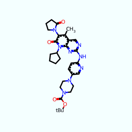 Cc1c(N2CCCC2=O)c(=O)n(C2CCCC2)c2nc(Nc3ccc(N4CCN(C(=O)OC(C)(C)C)CC4)cn3)ncc12